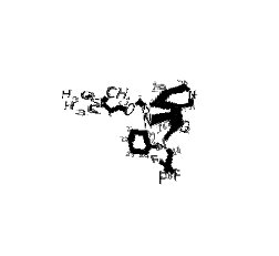 C[Si](C)(C)CCOCn1nc(C(=O)N(CC(F)(F)F)c2ccccc2)c2cnccc21